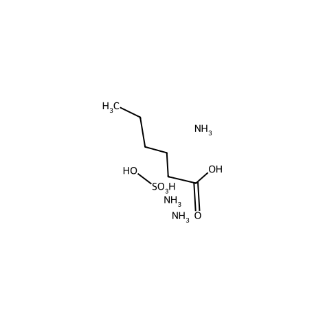 CCCCCC(=O)O.N.N.N.O=S(=O)(O)O